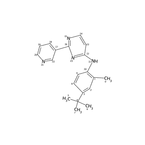 Cc1cc(C(C)(C)C)ccc1Nc1ccnc(-c2cccnc2)n1